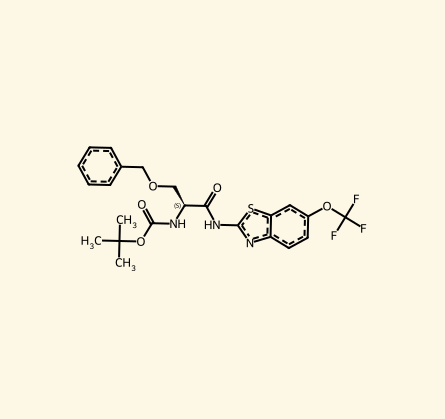 CC(C)(C)OC(=O)N[C@@H](COCc1ccccc1)C(=O)Nc1nc2ccc(OC(F)(F)F)cc2s1